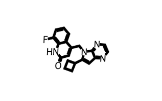 O=c1cc(Cn2c(C3CCC3)cc3nccnc32)c2cccc(F)c2[nH]1